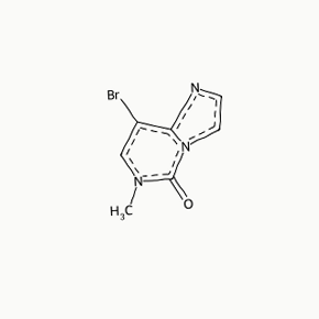 Cn1cc(Br)c2nccn2c1=O